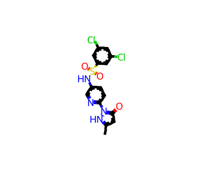 Cc1cc(=O)n(-c2ccc(NS(=O)(=O)c3cc(Cl)cc(Cl)c3)cn2)[nH]1